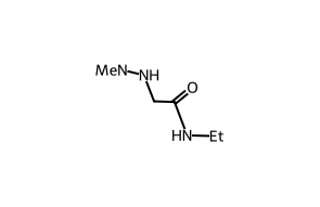 CCNC(=O)CNNC